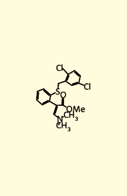 COC(=O)C(=CN(C)C)c1ccccc1SCc1cc(Cl)ccc1Cl